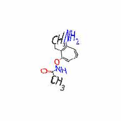 CCc1c(N)cccc1ONC(C)=O